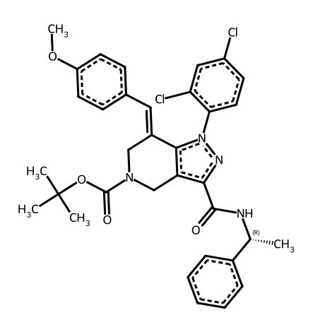 COc1ccc(C=C2CN(C(=O)OC(C)(C)C)Cc3c(C(=O)N[C@H](C)c4ccccc4)nn(-c4ccc(Cl)cc4Cl)c32)cc1